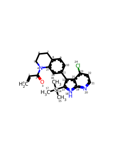 C=CC(=O)N1CCCc2ccc(-c3c([Si](C)(C)C)[nH]c4nccc(Cl)c34)cc21